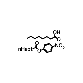 CCCCCCCC(=O)O.CCCCCCCC(=O)Oc1ccc([N+](=O)[O-])cc1